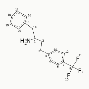 NC(CCc1ccc(C(F)(F)F)cc1)Cc1ccccc1